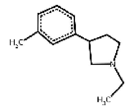 CCN1CCC(c2cccc(C)c2)C1